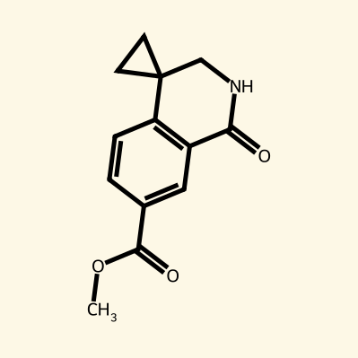 COC(=O)c1ccc2c(c1)C(=O)NCC21CC1